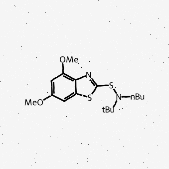 CCCCN(Sc1nc2c(OC)cc(OC)cc2s1)C(C)(C)C